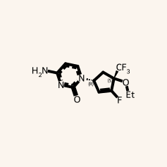 CCO[C@@]1(C(F)(F)F)C[C@@H](n2ccc(N)nc2=O)C=C1F